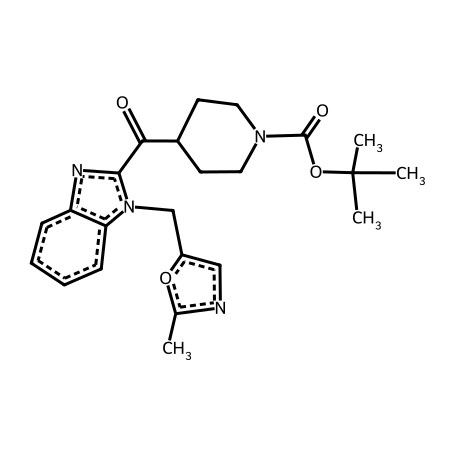 Cc1ncc(Cn2c(C(=O)C3CCN(C(=O)OC(C)(C)C)CC3)nc3ccccc32)o1